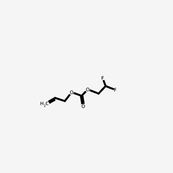 C=CCOC(=O)OCC(F)F